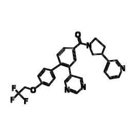 O=C(c1ccc(-c2ccc(OCC(F)(F)F)cc2)c(-c2cncnc2)c1)N1CCC(c2cccnc2)C1